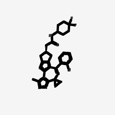 Cc1nnc2n1-c1sc3c(c1C(c1ccccc1Cl)=NC21CC1)C[C@H](CC(=O)NC1CCC(F)(F)CC1)C3